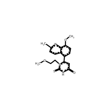 COCCn1c(-c2ccc(OC)c3nc(C)ccc23)cc(=O)[nH]c1=S